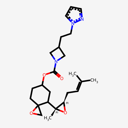 CC(C)=CC[C@H]1O[C@]1(C)C1CC(OC(=O)N2CC(CCn3cccn3)C2)CCC12CO2